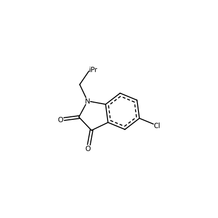 CC(C)CN1C(=O)C(=O)c2cc(Cl)ccc21